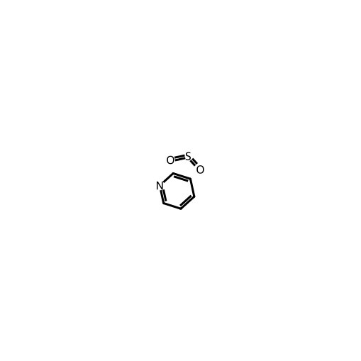 O=S=O.c1ccncc1